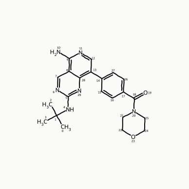 CC(C)(C)Nc1ncc2c(N)ncc(-c3ccc(C(=O)N4CCOCC4)cc3)c2n1